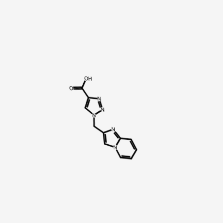 O=C(O)c1cn(Cc2cn3ccccc3n2)nn1